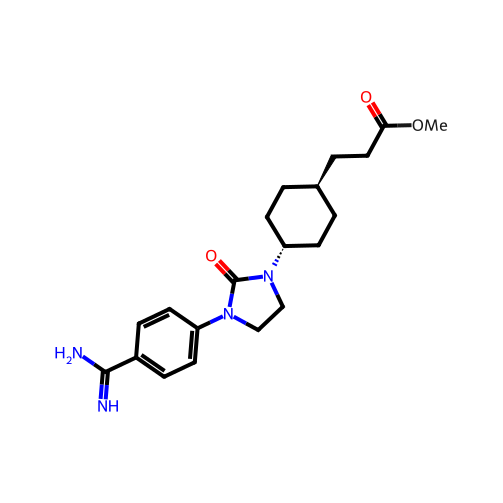 COC(=O)CC[C@H]1CC[C@H](N2CCN(c3ccc(C(=N)N)cc3)C2=O)CC1